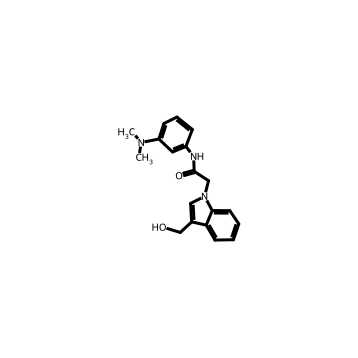 CN(C)c1cccc(NC(=O)Cn2cc(CO)c3ccccc32)c1